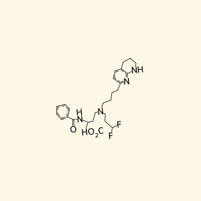 O=C(NC(CCN(CCCCc1ccc2c(n1)NCCC2)CCC(F)F)C(=O)O)c1ccccc1